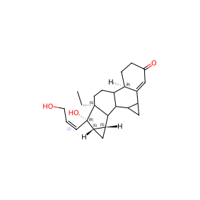 CC[C@]12CCC3C(C4CC4C4=CC(=O)CC[C@@H]43)C1[C@@H]1C[C@@H]1[C@@]2(O)/C=C\CO